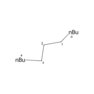 [CH2]CCCC[CH]CCCCC